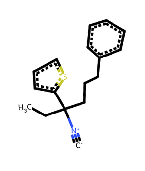 [C-]#[N+]C(CC)(CCCc1ccccc1)c1cccs1